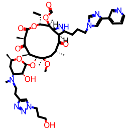 CC[C@H]1OC(=O)[C@H](C)C(=O)[C@H](C)[C@@H](O[C@@H]2O[C@H](C)C[C@H](N(C)CCc3cn(CCCO)nn3)[C@H]2O)[C@](C)(OC)C[C@@H](C)C(=O)[C@@H]2C(CCCn3cnc(-c4cccnc4)c3)N[C@H]2[C@]1(C)OC=O